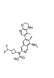 Cc1c(-c2cc3cc(N(C(=O)O)C4CC(C(F)F)C4)ncc3c(N)c2F)cnc2c1NCCO2